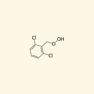 OOCc1c(Cl)cccc1Cl